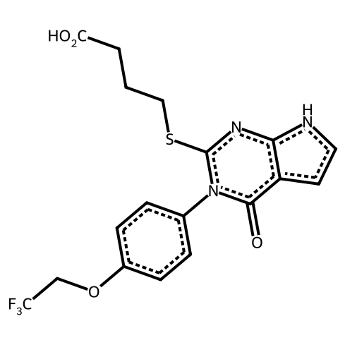 O=C(O)CCCSc1nc2[nH]ccc2c(=O)n1-c1ccc(OCC(F)(F)F)cc1